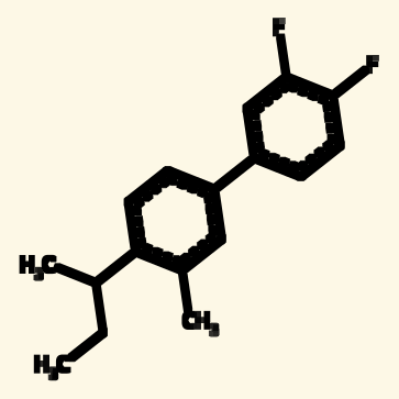 CCC(C)c1ccc(-c2ccc(F)c(F)c2)cc1C